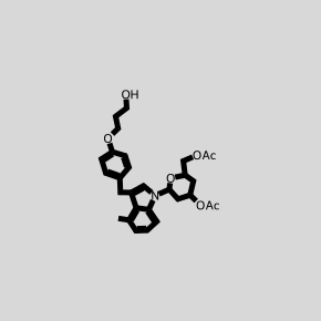 CC(=O)OCC1CC(OC(C)=O)CC(n2cc(Cc3ccc(OCCCO)cc3)c3c(C)cccc32)O1